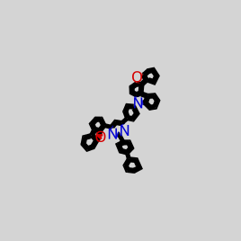 c1ccc(-c2ccc(-c3nc(-c4ccc(-n5c6ccccc6c6c7c(ccc65)oc5ccccc57)cc4)cc(-c4cccc5c4oc4ccccc45)n3)cc2)cc1